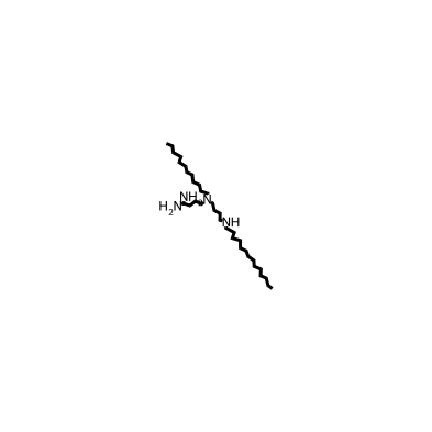 CCCCCCCCCCCCCCNCCCCN(CCCCCCCCCCCC)CCCC(N)N